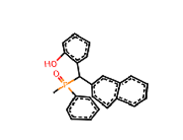 CP(=O)(c1ccccc1)C(c1ccc2ccccc2c1)c1ccccc1O